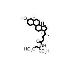 C[C@H](CCC(=O)N[C@@H](CC(=O)O)C(=O)O)C1CC[C@H]2C3CC[C@@H]4C[C@H](O)CC[C@]4(C)C3CC[C@]12C